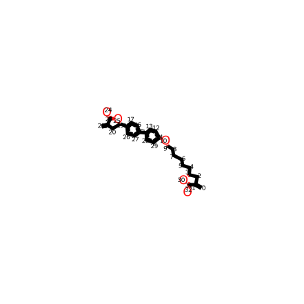 C=C1CC(CCCCCCOc2ccc(-c3ccc(C4CC(=C)C(=O)O4)cc3)cc2)OC1=O